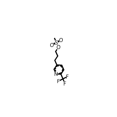 CS(=O)(=O)OCCCc1ccc(C(F)(F)F)nc1